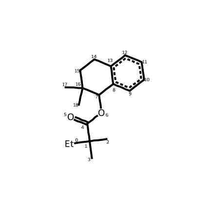 CCC(C)(C)C(=O)OC1c2ccccc2CCC1(C)C